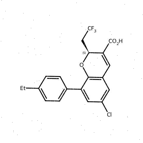 CCc1ccc(-c2cc(Cl)cc3c2O[C@@H](CC(F)(F)F)C(C(=O)O)=C3)cc1